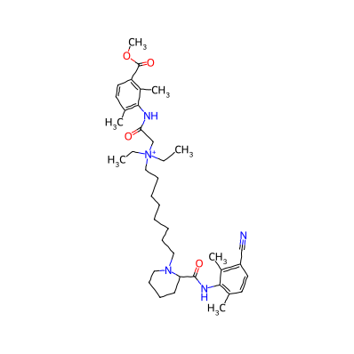 CC[N+](CC)(CCCCCCCCN1CCCCC1C(=O)Nc1c(C)ccc(C#N)c1C)CC(=O)Nc1c(C)ccc(C(=O)OC)c1C